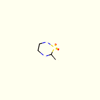 CC(C)C1NCCNS1(=O)=O